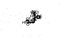 CCc1nonc1C(=O)N[C@H](c1cn2nc(CC3C[C@@H](C(F)(F)F)CNC3=O)ccc2n1)C1CCC(F)(F)CC1